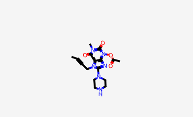 CC#CCn1c(N2CCNCC2)nc2c1c(=O)n(C)c(=O)n2OC(C)=O